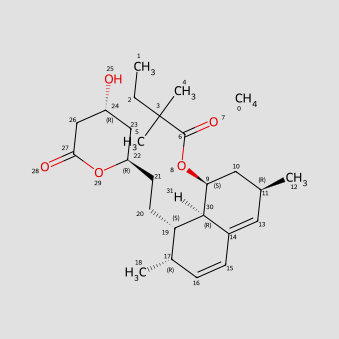 C.CCC(C)(C)C(=O)O[C@H]1C[C@@H](C)C=C2C=C[C@H](C)[C@H](CC[C@@H]3C[C@@H](O)CC(=O)O3)[C@H]21